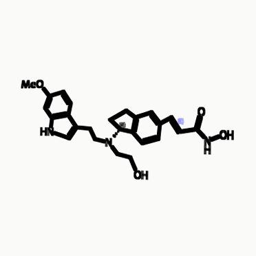 COc1ccc2c(CCN(CCO)[C@@H]3CCc4cc(/C=C/C(=O)NO)ccc43)c[nH]c2c1